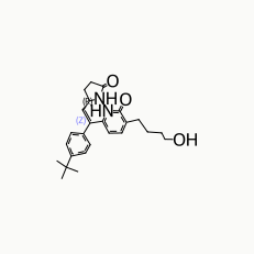 CC(C)(C)c1ccc(/C(=C/[C@H]2CCC(=O)N2)c2ccc(CCCCO)c(=O)[nH]2)cc1